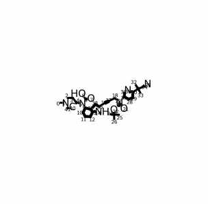 CN1CCC(N(C(=O)O)c2cccc3[nH]c(C#CCN(C(=O)OC(C)(C)C)c4ccc(C(C)(C)C#N)nc4)cc23)CC1